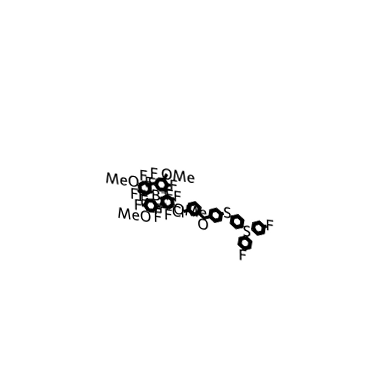 COc1c(F)c(F)c([B-](c2c(F)c(F)c(OC)c(F)c2F)(c2c(F)c(F)c(OC)c(F)c2F)c2c(F)c(F)c(OC)c(F)c2F)c(F)c1F.O=C(c1ccc(Sc2ccc([S+](c3ccc(F)cc3)c3ccc(F)cc3)cc2)cc1)c1cccc(Cl)c1